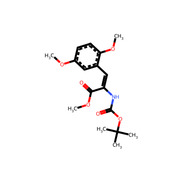 COC(=O)/C(=C\c1cc(OC)ccc1OC)NC(=O)OC(C)(C)C